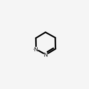 C1=N[N]CCC1